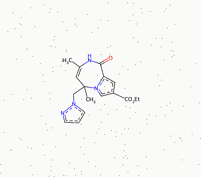 CCOC(=O)c1cc2n(c1)C(C)(Cn1cccn1)C=C(C)NC2=O